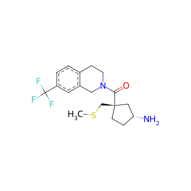 CSC[C@]1(C(=O)N2CCc3ccc(C(F)(F)F)cc3C2)CC[C@@H](N)C1